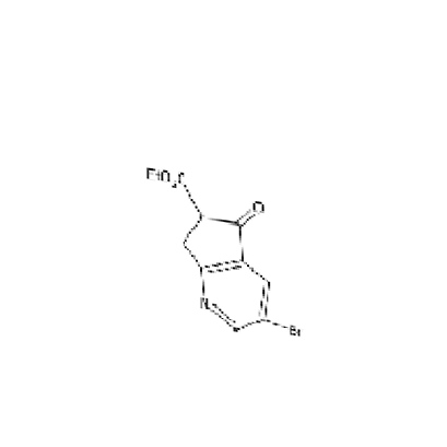 CCOC(=O)C1Cc2ncc(Br)cc2C1=O